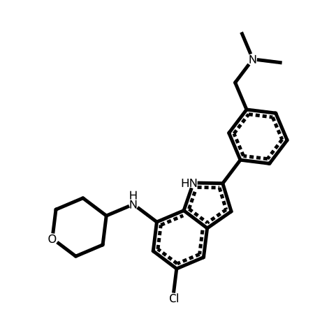 CN(C)Cc1cccc(-c2cc3cc(Cl)cc(NC4CCOCC4)c3[nH]2)c1